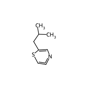 CC(C)CC1=CN=C=CS1